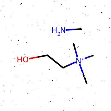 CN.C[N+](C)(C)CCO